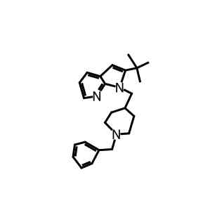 CC(C)(C)c1cc2cccnc2n1CC1CCN(Cc2ccccc2)CC1